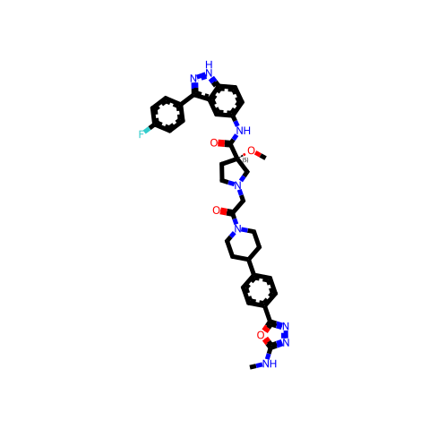 CNc1nnc(-c2ccc(C3CCN(C(=O)CN4CC[C@@](OC)(C(=O)Nc5ccc6[nH]nc(-c7ccc(F)cc7)c6c5)C4)CC3)cc2)o1